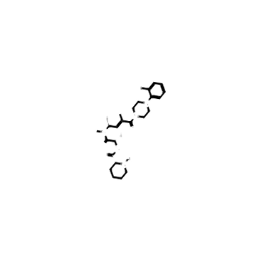 C/C(=C\[C@H](C(C)C)N(C)C(=O)[C@@H](NC(=O)[C@H]1CCCCN1C(C)C)C(C)C)C(=O)N1CCN(c2ccccc2Cl)CC1